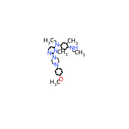 CCNc1cc(C)c(N(CC)c2ccnc(N3CCN(c4ccc(OC)cc4)CC3)n2)cc1C